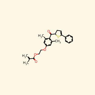 C=C(C)C(=O)OCCOc1cc(C)c(C(=O)C2CC=C(c3ccccc3)S2)c(C)c1